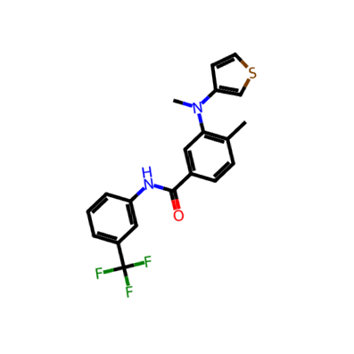 Cc1ccc(C(=O)Nc2cccc(C(F)(F)F)c2)cc1N(C)c1ccsc1